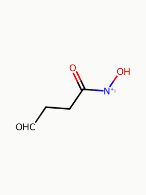 O=CCCC(=O)[N+]O